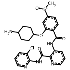 C[S+]([O-])c1ccc(C(=O)Nc2cccnc2C(=O)Nc2ncccc2Cl)c(OC2CCC(N)CC2)c1